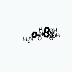 Nc1cccc(C(=O)Nc2ccc(S(=O)(=O)O)c3c(O)cccc23)c1